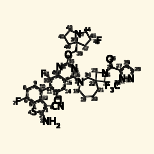 N#Cc1c(N)sc2c(F)ccc(-c3c(Cl)cc4c(N5CCCCC6(CN(C(=O)c7ccnn7C(F)(F)F)C6)C5)nc(OC[C@@]56CCCN5C[C@H](F)C6)nc4c3F)c12